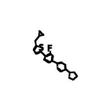 Fc1cc(-c2ccc(C3CCCC3)cc2)ccc1-c1ccc(CC2CC2)s1